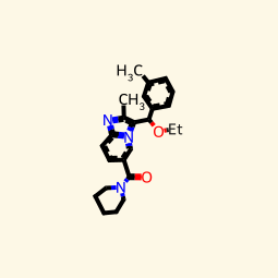 CCOC(c1cccc(C)c1)c1c(C)nc2ccc(C(=O)N3CCCCC3)cn12